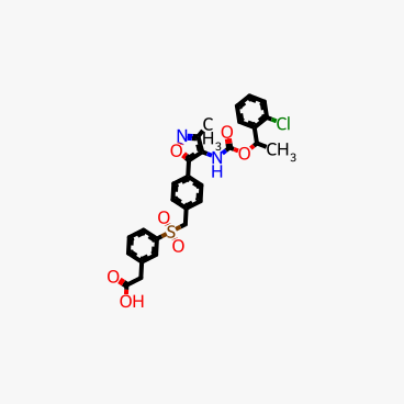 Cc1noc(-c2ccc(CS(=O)(=O)c3cccc(CC(=O)O)c3)cc2)c1NC(=O)OC(C)c1ccccc1Cl